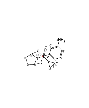 Nc1ncc(F)c(N2CC3CCC(C2)N3C(=O)C2CC2)n1